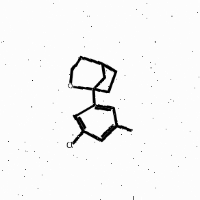 Cc1cc(Cl)cc(C23CCC(CCO2)C3)c1